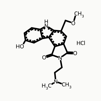 COCc1cc2c(c3c1[nH]c1ccc(O)cc13)C(=O)N(CCN(C)C)C2=O.Cl